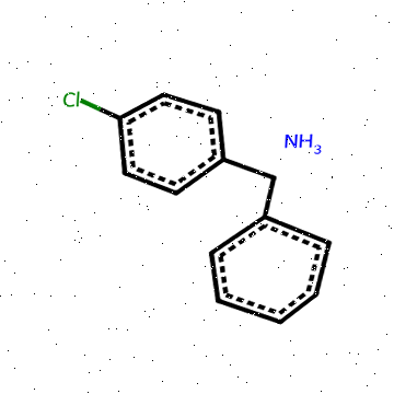 Clc1ccc(Cc2ccccc2)cc1.N